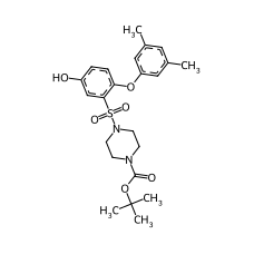 Cc1cc(C)cc(Oc2ccc(O)cc2S(=O)(=O)N2CCN(C(=O)OC(C)(C)C)CC2)c1